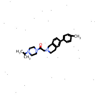 Cc1ccc(-c2ccc3c(c2)CCN(CC(=O)N2CCN(C(C)C)CC2)C3)cc1